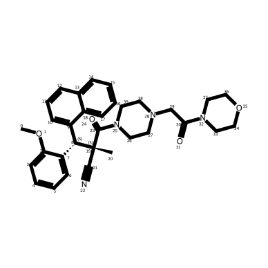 COc1ccccc1[C@H](c1cccc2ccccc12)[C@@](C)(C#N)C(=O)N1CCN(CC(=O)N2CCOCC2)CC1